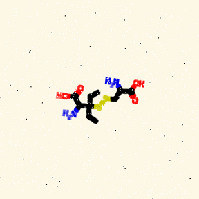 CCC(CC)(SSCC(N)C(=O)O)C(N)C(=O)O